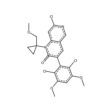 COCC1(n2c(=O)c(-c3c(Cl)c(OC)cc(OC)c3Cl)cc3cnc(Cl)cc32)CC1